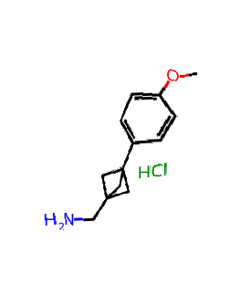 COc1ccc(C23CC(CN)(C2)C3)cc1.Cl